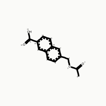 CC(=O)OCc1ccc2cc(C(=O)O)ccc2c1